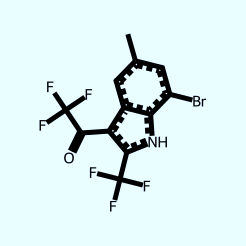 Cc1cc(Br)c2[nH]c(C(F)(F)F)c(C(=O)C(F)(F)F)c2c1